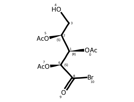 CC(=O)O[C@H]([C@H](CO)OC(C)=O)[C@H](OC(C)=O)C(=O)Br